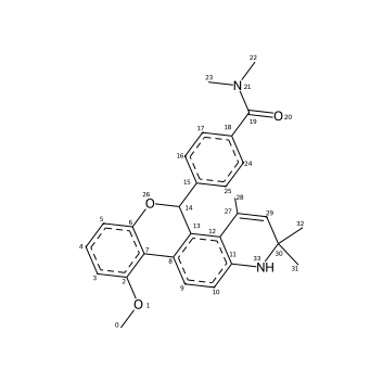 COc1cccc2c1-c1ccc3c(c1C(c1ccc(C(=O)N(C)C)cc1)O2)C(C)=CC(C)(C)N3